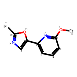 CCOc1cccc(-c2cnc(C(C)C)o2)n1